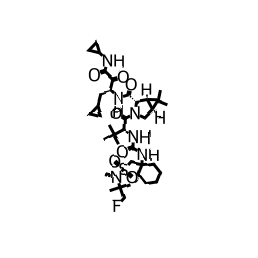 CN(C(C)(C)CF)S(=O)(=O)CC1(NC(=O)N[C@H](C(=O)N2C[C@H]3[C@@H]([C@H]2C(=O)N[C@@H](CC2CC2)C(=O)C(=O)NC2CC2)C3(C)C)C(C)(C)C)CCCCC1